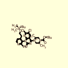 CC(C)c1nccc(CCO[Si](C)(C)C(C)(C)C)c1-n1c(=O)nc(N2C[C@@H](C)N(C(=O)OC(C)(C)C)C[C@@H]2C)c2cc(Cl)c(Cl)nc21